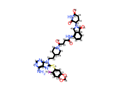 Nc1ncnc2c1nc(Sc1cc3c(cc1I)OCO3)n2CCC1CCN(C(=O)CCC(=O)Nc2cccc3c2CN(C2CCC(=O)NC2=O)C3=O)CC1